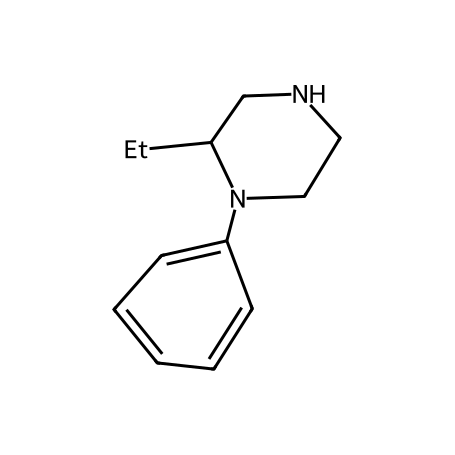 CCC1CNCCN1c1ccccc1